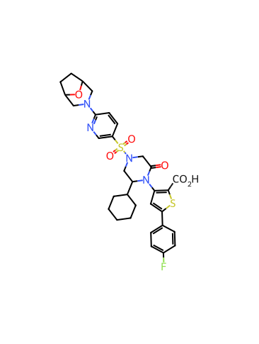 O=C(O)c1sc(-c2ccc(F)cc2)cc1N1C(=O)CN(S(=O)(=O)c2ccc(N3CC4CCC(C3)O4)nc2)CC1C1CCCCC1